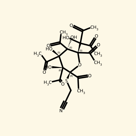 CC(=O)C(O)(C(C)=O)[C@@]1(C(C)=O)O[C@](SCC#N)(C(C)=O)[C@](O)(C(C)=O)[C@](O)(C(C)=O)[C@@]1(O)C(C)=O